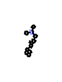 CC1(C)c2cc(-c3cccc(-c4cc(-c5ccccc5)nc(-c5ccccc5)n4)c3)ccc2-c2ccc(-c3ccc4ccc5cccc6ccc3c4c56)cc21